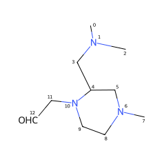 CN(C)CC1CN(C)CCN1CC=O